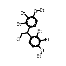 CCOc1ccc(C(CCl)c2ccc(OCC)c(CC)c2CC)c(CC)c1CC